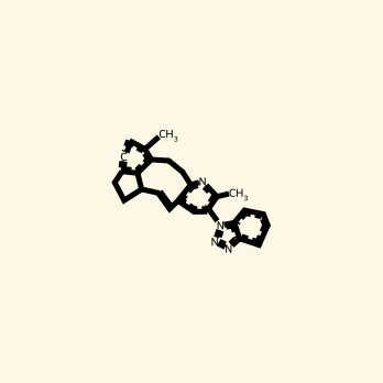 Cc1ccc2c3c1CCc1nc(C)c(-n4nnc5ccccc54)cc1/C=C/C3CC2